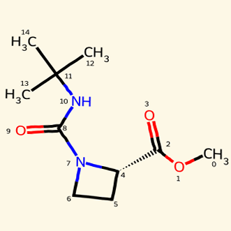 COC(=O)[C@@H]1CCN1C(=O)NC(C)(C)C